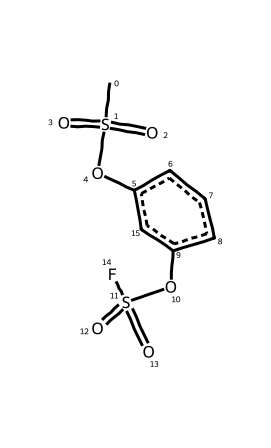 CS(=O)(=O)Oc1cccc(OS(=O)(=O)F)c1